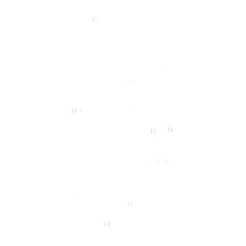 C=C(C)C(=O)OC(=O)C(C)=C(C=C(C)C(=O)[O-])C(OCCO)=C(C)C(=O)OCCCCCCCCCCCC.[Na+]